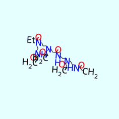 C=CC(=O)NCCCN(CCCNC(=O)CCN(CCCN(CCCNC(=O)C=C)C(=O)CC)C(=O)C=C)C(=O)C=C